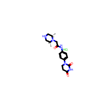 C[C@@H]1CNC[C@H](C)N1CC(=O)Nc1ccc(N2CCC(=O)NC2=O)cc1.Cl